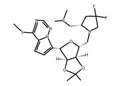 CSc1ncnn2c([C@@H]3O[C@H](CN4CC(F)(F)C[C@H]4CN(C)C)[C@H]4OC(C)(C)O[C@H]43)ccc12